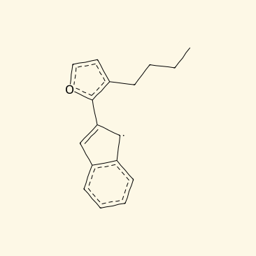 CCCCc1ccoc1C1=Cc2ccccc2[CH]1